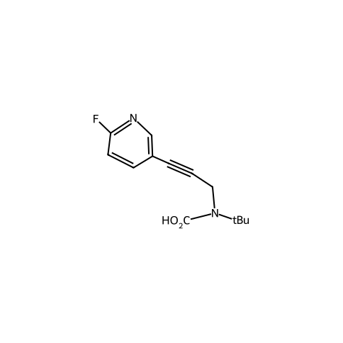 CC(C)(C)N(CC#Cc1ccc(F)nc1)C(=O)O